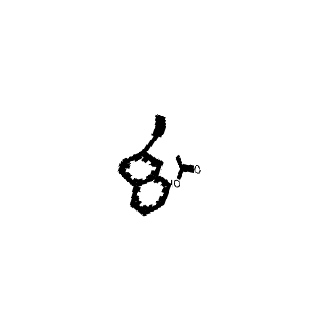 C#Cc1ccc2ccccc2c1.CC(=O)O